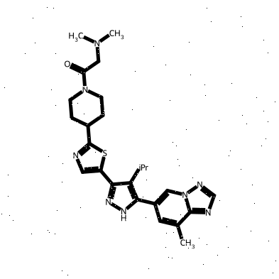 Cc1cc(-c2[nH]nc(-c3cnc(C4CCN(C(=O)CN(C)C)CC4)s3)c2C(C)C)cn2ncnc12